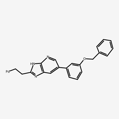 [Pd][CH2]Cc1nc2cc(-c3cccc(OCc4ccccc4)c3)cnc2[nH]1